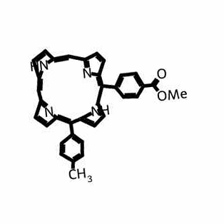 COC(=O)c1ccc(-c2c3nc(cc4ccc(cc5nc(c(-c6ccc(C)cc6)c6ccc2[nH]6)C=C5)[nH]4)C=C3)cc1